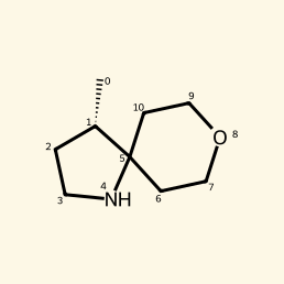 C[C@H]1CCNC12CCOCC2